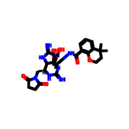 CC1(C)CCOc2c(C(=O)NC3CN4C(=N)N[C@H](CN5C(=O)CCC5=O)C5NC(=N)NC54C3(O)O)cccc21